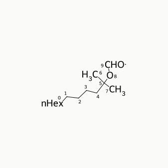 CCCCCCCCCCC(C)(C)O[C]=O